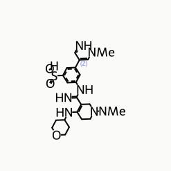 CN/C=C(\C=N)c1cc(NC(=N)C2=C(NC3CCOCC3)CCN(NC)C2)cc([SH](=O)=O)c1